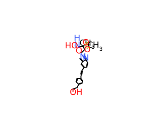 CC(CCn1cc2cc(C#Cc3ccc(CCO)cc3)ccc2n1)(C(=O)NO)S(C)(=O)=O